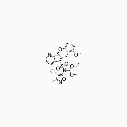 CCOC(OC)N(c1onc(C)c1Cl)S(=O)(=O)c1c(Cc2c(OC)cccc2OC)sc2ncccc12